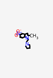 Cc1cc2cc([N+](=O)[O-])ccc2n1CCN1CCCC1